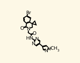 Cn1cc(-c2cnc(NC(=O)CN3CC4(CC4)c4cc(Br)ccc4C3=O)nc2)cn1